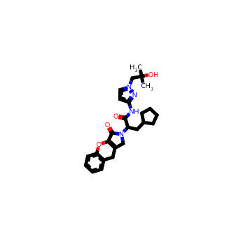 CC(C)(O)Cn1ccc(NC(=O)C(CC2CCCC2)N2CC3=C(Oc4ccccc4C3)C2=O)n1